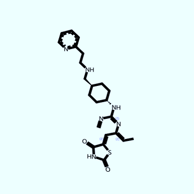 C=N\C(=N/C(=C\C)/C=C1\SC(=O)NC1=O)N[C@H]1CC[C@H](CNCCc2ccccn2)CC1